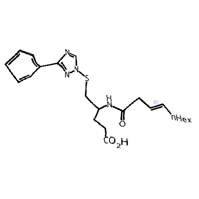 CCCCCC/C=C/CC(=O)NC(CCC(=O)O)CSn1cnc(-c2ccccc2)n1